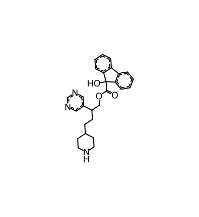 O=C(OCC(CCC1CCNCC1)c1cncnc1)C1(O)c2ccccc2-c2ccccc21